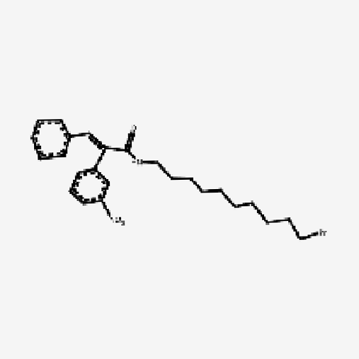 CC(C)CCCCCCCCCCNC(=O)C(=Cc1ccccc1)c1cccc([N+](=O)[O-])c1